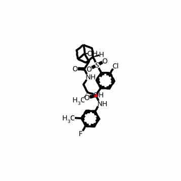 Cc1cc(NC(=O)c2ccc(Cl)c(S(=O)(=O)[C@H]3CC4CC(C3)[C@]4(O)CC(=O)NC[C@@H](C)O)c2)ccc1F